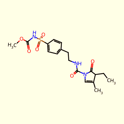 CCC1C(=O)N(C(=O)NCCc2ccc(S(=O)(=O)NC(=O)OC)cc2)C=C1C